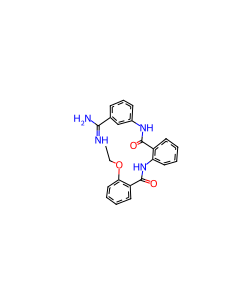 CCOc1ccccc1C(=O)Nc1ccccc1C(=O)Nc1cccc(C(=N)N)c1